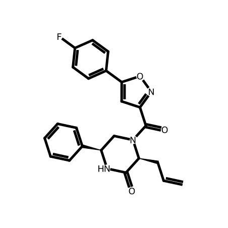 C=CC[C@H]1C(=O)N[C@@H](c2ccccc2)CN1C(=O)c1cc(-c2ccc(F)cc2)on1